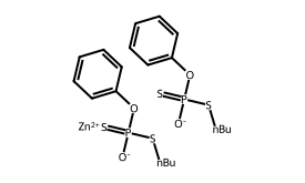 CCCCSP([O-])(=S)Oc1ccccc1.CCCCSP([O-])(=S)Oc1ccccc1.[Zn+2]